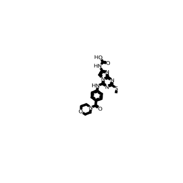 CSc1nc(Nc2ccc(C(=O)N3CCOCC3)cc2)n2cc(NC(=O)O)nc2n1